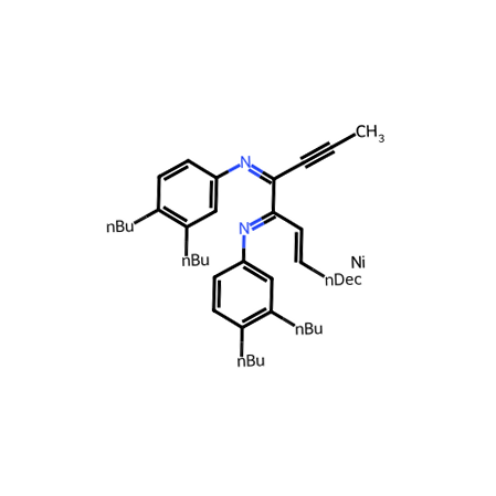 CC#CC(=Nc1ccc(CCCC)c(CCCC)c1)C(C=CCCCCCCCCCC)=Nc1ccc(CCCC)c(CCCC)c1.[Ni]